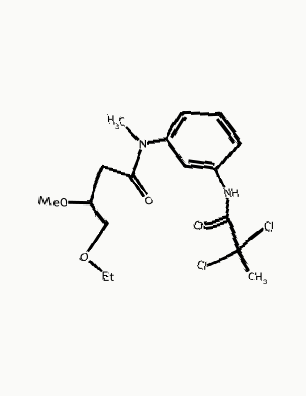 CCOCC(CC(=O)N(C)c1cccc(NC(=O)C(C)(Cl)Cl)c1)OC